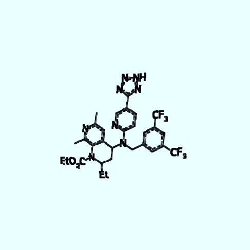 CCOC(=O)N1c2c(cc(C)nc2C)C(N(Cc2cc(C(F)(F)F)cc(C(F)(F)F)c2)c2ccc(-c3nn[nH]n3)cn2)CC1CC